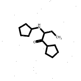 CCC(NC1CCCC1)C(=O)C1CCCC1